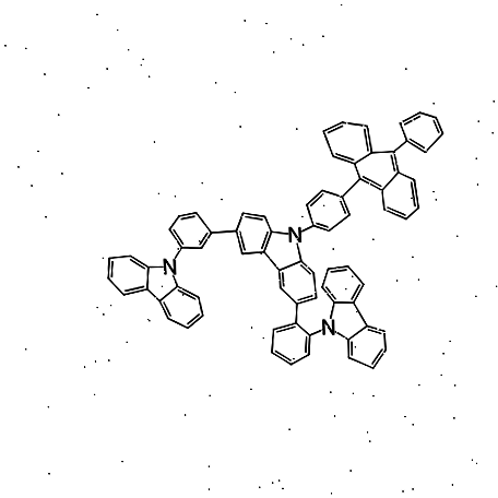 c1ccc(-c2c3ccccc3c(-c3ccc(-n4c5ccc(-c6cccc(-n7c8ccccc8c8ccccc87)c6)cc5c5cc(-c6ccccc6-n6c7ccccc7c7ccccc76)ccc54)cc3)c3ccccc23)cc1